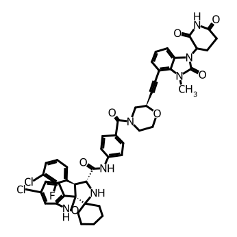 Cn1c(=O)n(C2CCC(=O)NC2=O)c2cccc(C#C[C@@H]3CN(C(=O)c4ccc(NC(=O)[C@@H]5NC6(CCCCC6)[C@@]6(C(=O)Nc7cc(Cl)ccc76)[C@H]5c5cccc(Cl)c5F)cc4)CCO3)c21